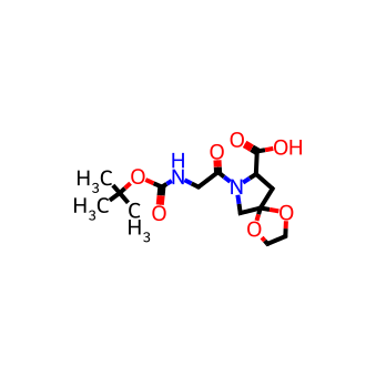 CC(C)(C)OC(=O)NCC(=O)N1CC2(CC1C(=O)O)OCCO2